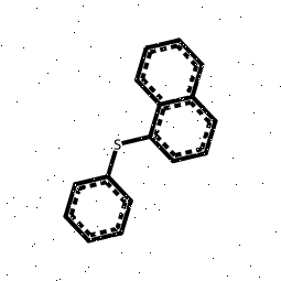 c1ccc(Sc2cccc3ccccc23)cc1